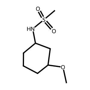 COC1CCCC(NS(C)(=O)=O)C1